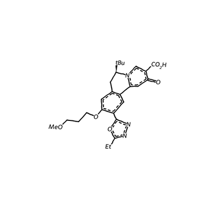 CCc1nnc(-c2cc3c(cc2OCCCOC)C[C@@H](C(C)(C)C)n2cc(C(=O)O)c(=O)cc2-3)o1